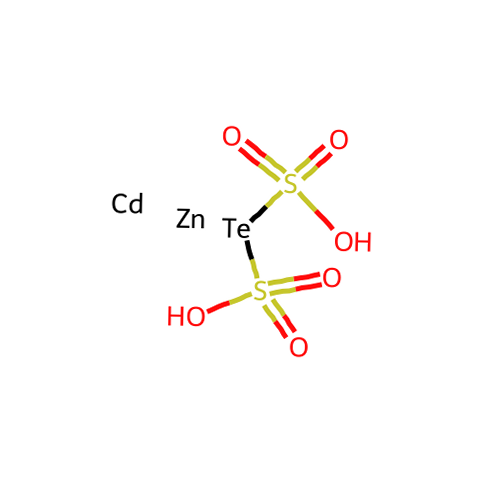 O=S(=O)(O)[Te]S(=O)(=O)O.[Cd].[Zn]